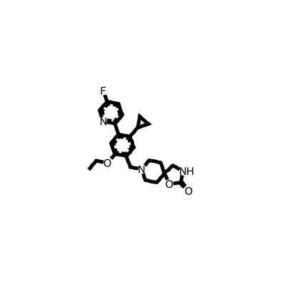 CCOc1cc(-c2ccc(F)cn2)c(C2CC2)cc1CN1CCC2(CC1)CNC(=O)O2